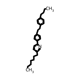 CCCCCCCc1ccc(-c2ccc(CCc3ccc(CCCC)cc3)cc2)nc1